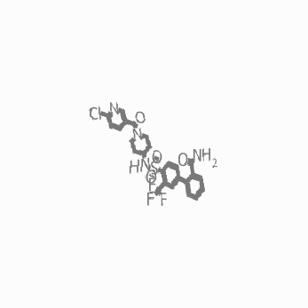 NC(=O)c1ccccc1-c1ccc(S(=O)(=O)NC2CCN(C(=O)c3ccc(Cl)nc3)CC2)c(C(F)(F)F)c1